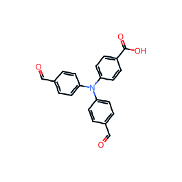 O=Cc1ccc(N(c2ccc(C=O)cc2)c2ccc(C(=O)O)cc2)cc1